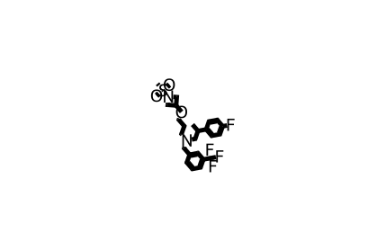 CC(CN(CCCOC1CN(S(C)(=O)=O)C1)Cc1cccc(C(F)(F)F)c1)c1ccc(F)cc1